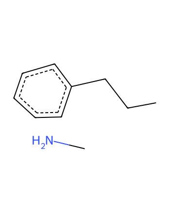 CCCc1ccccc1.CN